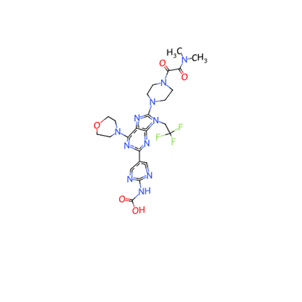 CN(C)C(=O)C(=O)N1CCN(c2nc3c(N4CCOCC4)nc(-c4cnc(NC(=O)O)nc4)nc3n2CC(F)(F)F)CC1